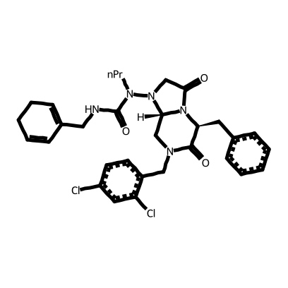 CCCN(C(=O)NCC1=CCCC=C1)N1CC(=O)N2[C@@H](Cc3ccccc3)C(=O)N(Cc3ccc(Cl)cc3Cl)C[C@@H]21